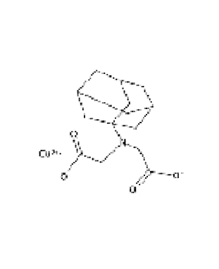 O=C([O-])CN(CC(=O)[O-])C12CC3CC(CC(C3)C1)C2.[Cu+2]